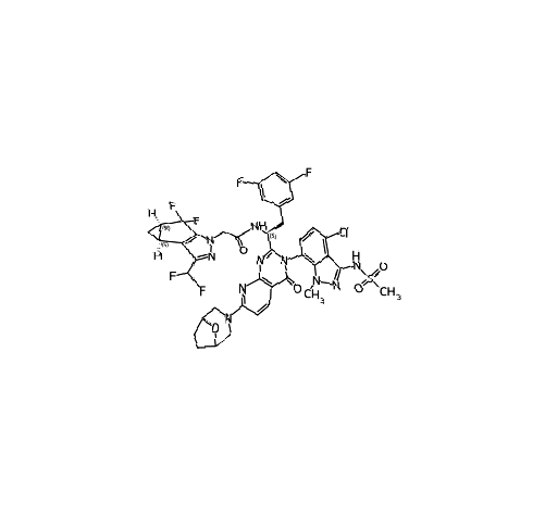 Cn1nc(NS(C)(=O)=O)c2c(Cl)ccc(-n3c([C@H](Cc4cc(F)cc(F)c4)NC(=O)Cn4nc(C(F)F)c5c4C(F)(F)[C@@H]4C[C@H]54)nc4nc(N5CC6CCC(C5)O6)ccc4c3=O)c21